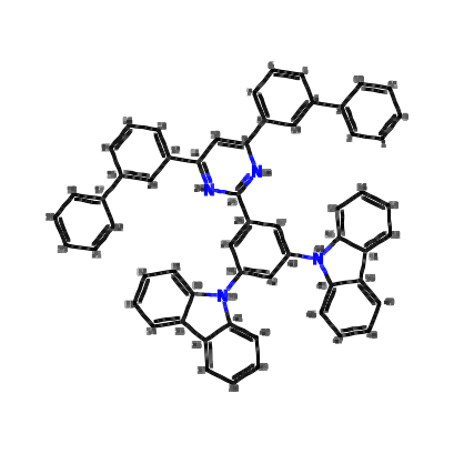 c1ccc(-c2cccc(-c3cc(-c4cccc(-c5ccccc5)c4)nc(-c4cc(-n5c6ccccc6c6ccccc65)cc(-n5c6ccccc6c6ccccc65)c4)n3)c2)cc1